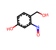 O=Nc1cc(O)ccc1CO